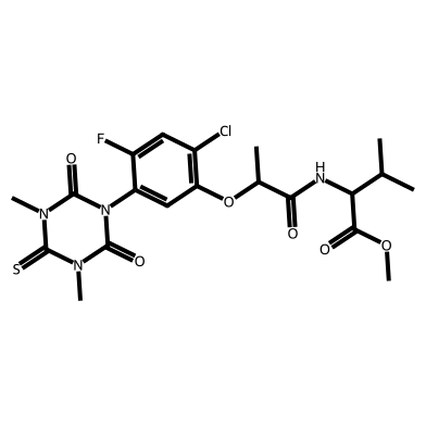 COC(=O)C(NC(=O)C(C)Oc1cc(-n2c(=O)n(C)c(=S)n(C)c2=O)c(F)cc1Cl)C(C)C